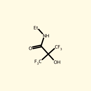 CCNC(=O)C(O)(C(F)(F)F)C(F)(F)F